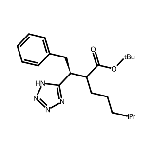 CC(C)CCCC(C(=O)OC(C)(C)C)[C@H](Cc1ccccc1)c1nnn[nH]1